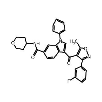 Cc1onc(-c2cccc(F)c2)c1C(=O)c1cn(-c2ccccc2)c2cc(C(=O)NC3CCOCC3)ccc12